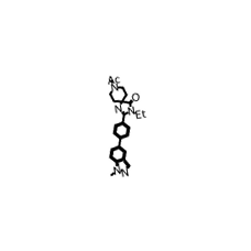 CCN1C(=O)C2(CCN(C(C)=O)CC2)N=C1c1ccc(-c2ccc3c(cnn3C)c2)cc1